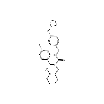 CN1CCCCC1CN(Cc1ccc(F)cc1)C(=O)NCc1ccc(OC2CCC2)cc1